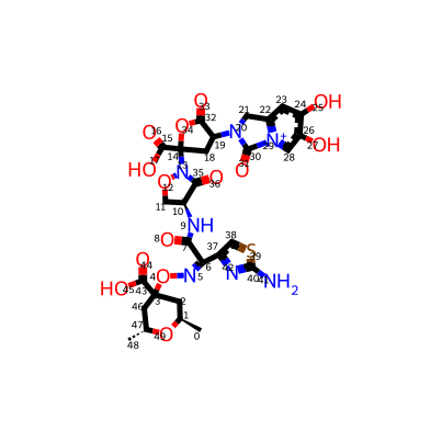 C[C@@H]1CC(O/N=C(\C(=O)N[C@H]2CON(C3(C(=O)O)CC(N4Cc5cc(O)c(O)c[n+]5C4=O)C(=O)O3)C2=O)c2csc(N)n2)(C(=O)O)C[C@@H](C)O1